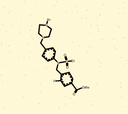 CCS(=O)(=O)N(Cc1ccc(C(=O)OC)cc1F)c1ccc(CN2CCN(C(C)=O)CC2)cc1